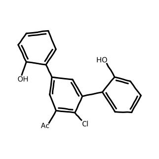 CC(=O)c1cc(-c2ccccc2O)cc(-c2ccccc2O)c1Cl